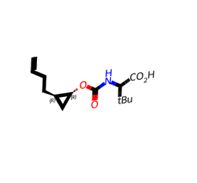 C=CCC[C@@H]1C[C@H]1OC(=O)NC(C(=O)O)C(C)(C)C